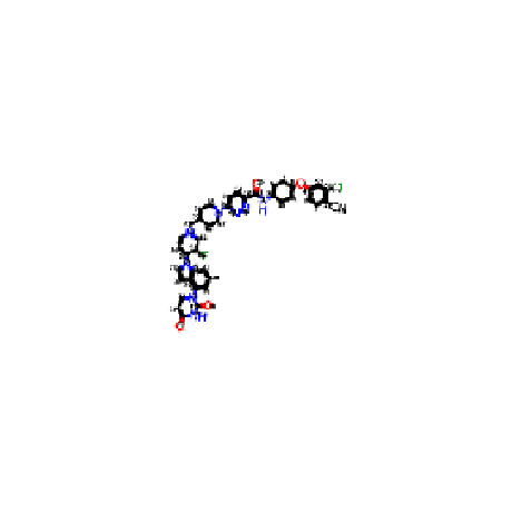 N#Cc1ccc(OC2CCC(NC(=O)c3ccc(N4CCC(CN5CC[C@H](n6ccc7c(N8CCC(=O)NC8=O)cccc76)[C@@H](F)C5)CC4)nn3)CC2)cc1Cl